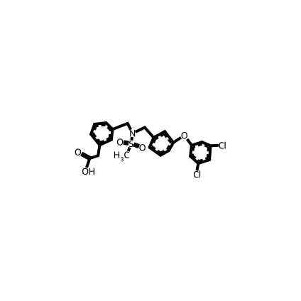 CS(=O)(=O)N(Cc1cccc(CC(=O)O)c1)Cc1cccc(Oc2cc(Cl)cc(Cl)c2)c1